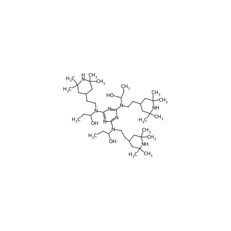 CCC(O)N(CCC1CC(C)(C)NC(C)(C)C1)c1nc(N(CCC2CC(C)(C)NC(C)(C)C2)C(O)CC)nc(N(CCC2CC(C)(C)NC(C)(C)C2)C(O)CC)n1